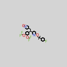 CC(C)(COc1ccc(C(Cc2cc[n+]([O-])cc2)c2ccc(OC(F)F)c(OC(F)F)c2)cn1)c1ccc(F)cc1